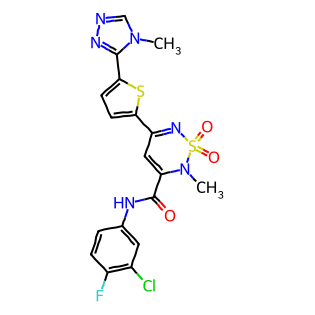 CN1C(C(=O)Nc2ccc(F)c(Cl)c2)=CC(c2ccc(-c3nncn3C)s2)=NS1(=O)=O